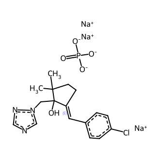 CC1(C)CC/C(=C\c2ccc(Cl)cc2)C1(O)Cn1cncn1.O=P([O-])([O-])[O-].[Na+].[Na+].[Na+]